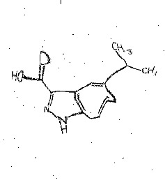 CC(C)c1ccc2[nH]nc(C(=O)O)c2c1